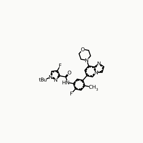 Cc1cc(F)c(NC(=O)c2nn(C(C)(C)C)cc2F)cc1-c1cc(N2CCOCC2)c2nccn2c1